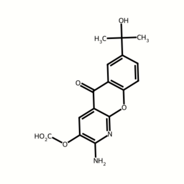 CC(C)(O)c1ccc2oc3nc(N)c(OC(=O)O)cc3c(=O)c2c1